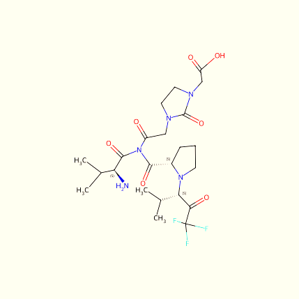 CC(C)[C@H](N)C(=O)N(C(=O)CN1CCN(CC(=O)O)C1=O)C(=O)[C@@H]1CCCN1[C@H](C(=O)C(F)(F)F)C(C)C